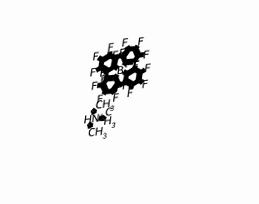 CC[NH+](CC)CC.Fc1c(F)c(F)c([B-](c2c(F)c(F)c(F)c(F)c2F)(c2c(F)c(F)c(F)c(F)c2F)c2c(F)c(F)c(F)c(F)c2F)c(F)c1F